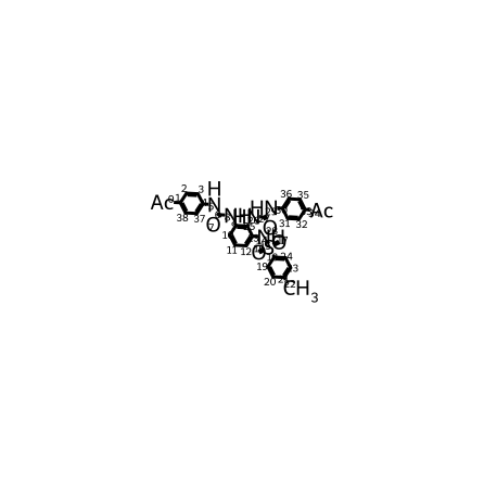 CC(=O)c1ccc(NC(=O)Nc2cccc(NS(=O)(=O)c3ccc(C)cc3)c2NC(=O)Nc2ccc(C(C)=O)cc2)cc1